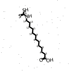 O=C(O)CCCCCCCCCCCCNC(=S)S